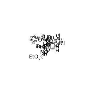 CCOC(=O)c1noc([C@@H](NC(=O)[C@@]2(NC(=O)[C@@H](NC(=O)OCc3ccccc3)C(C)CC)CCc3[nH]c4c(Cl)cc(Cl)cc4c3C2)C(C)CC)n1